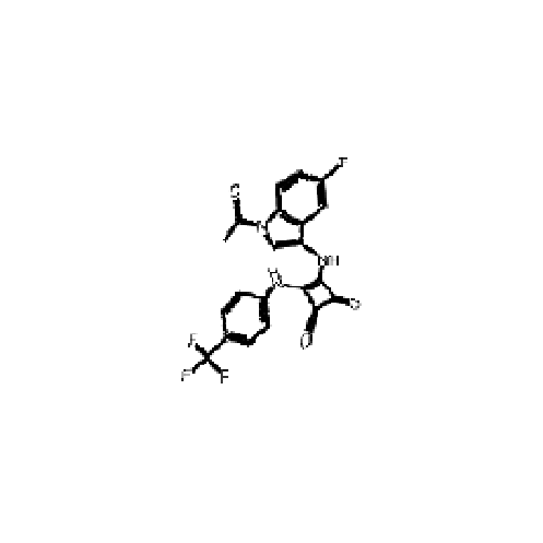 CC(=O)n1cc(Nc2c(Nc3ccc(C(F)(F)F)cc3)c(=O)c2=O)c2cc(F)ccc21